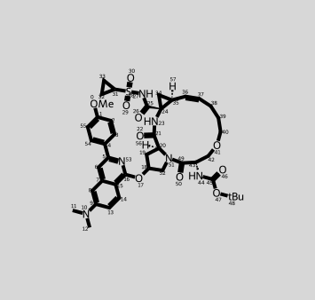 COc1ccc(-c2cc3cc(N(C)C)ccc3c(OC3C[C@H]4C(=O)N[C@]5(C(=O)NS(=O)(=O)C6CC6)C[C@H]5/C=C\CCCOC[C@H](NC(=O)OC(C)(C)C)C(=O)N4C3)n2)cc1